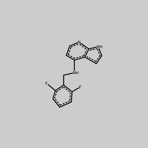 Fc1cccc(F)c1CNc1ccnc2[nH]ccc12